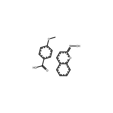 COc1ccc(C(=O)O)cc1.ON=c1ccc2ccccc2o1